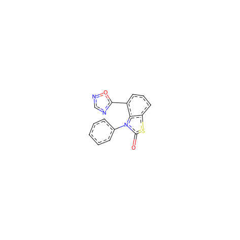 O=c1sc2cccc(-c3ncno3)c2n1-c1ccccc1